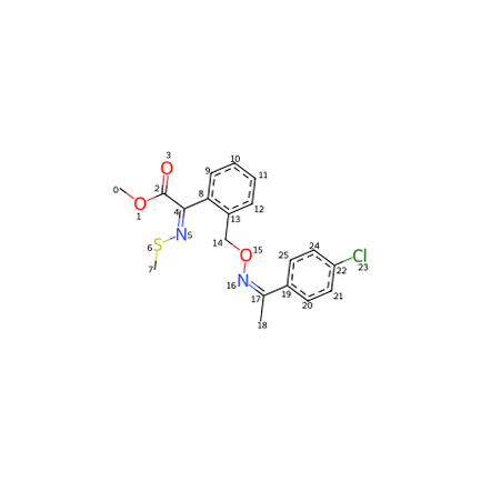 COC(=O)C(=NSC)c1ccccc1CON=C(C)c1ccc(Cl)cc1